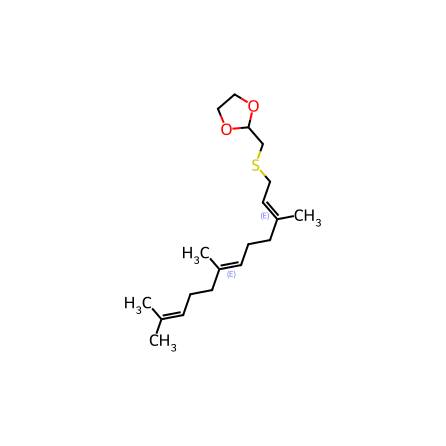 CC(C)=CCC/C(C)=C/CC/C(C)=C/CSCC1OCCO1